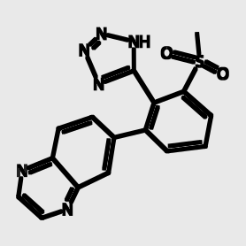 CS(=O)(=O)c1cccc(-c2ccc3nccnc3c2)c1-c1nnn[nH]1